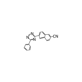 N#Cc1ccc2cc(-c3ncnc(-c4ccccc4)n3)ccc2c1